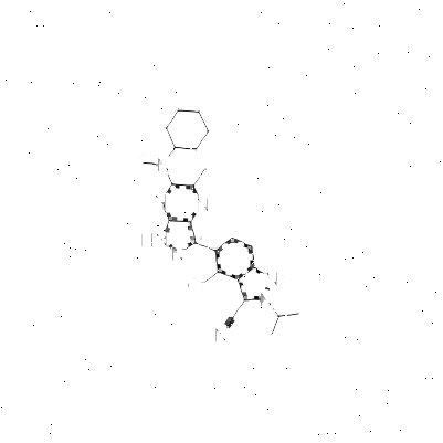 Cc1nc2c(-c3ccc4nn(C(C)C)c(C#N)c4c3Cl)n[nH]c2nc1N(C)C1CCCCC1